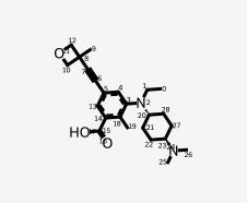 CCN(c1cc(C#CC2(C)COC2)cc(C(=O)O)c1C)[C@H]1CC[C@H](N(C)C)CC1